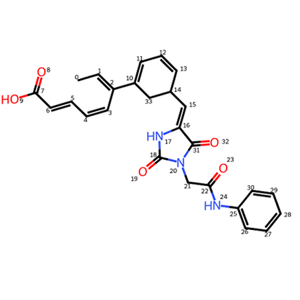 C\C=C(/C=C\C=C\C(=O)O)C1=CC=CC(/C=C2\NC(=O)N(CC(=O)Nc3ccccc3)C2=O)C1